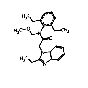 CCC1=NC2C=CC=CC2N1CC(=O)N(COC)c1c(CC)cccc1CC